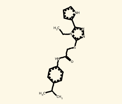 CCn1c(SCC(=O)Nc2ccc(C(C)C)cc2)nnc1-c1ccc[nH]1